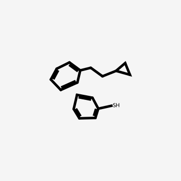 Sc1ccccc1.c1ccc(CCC2CC2)cc1